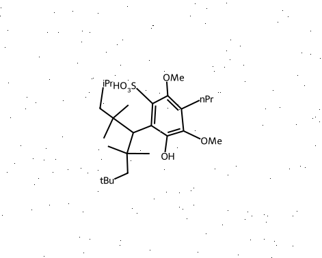 CCCc1c(OC)c(O)c(C(C(C)(C)CC(C)C)C(C)(C)CC(C)(C)C)c(S(=O)(=O)O)c1OC